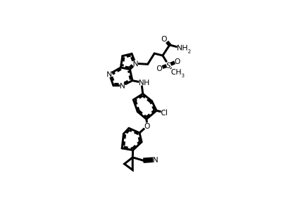 CS(=O)(=O)C(CCn1ccc2ncnc(Nc3ccc(Oc4cccc(C5(C#N)CC5)c4)c(Cl)c3)c21)C(N)=O